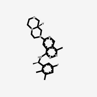 Cc1cc(F)cc([C@@H](C)Nc2nnc(C)c3cnc(N4CCN5CCOC[C@@H]5C4)cc23)c1C